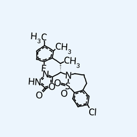 Cc1ccc(F)c(C(C)[C@@H](c2n[nH]c(=O)o2)N2CCCc3cc(Cl)ccc3S2(=O)=O)c1C